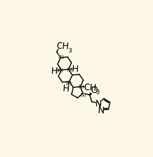 CC[C@H]1CC[C@@H]2C3CC[C@@]4(C)C(CC[C@@H]4C(=O)Cn4cccn4)[C@@H]3CC[C@@H]2C1